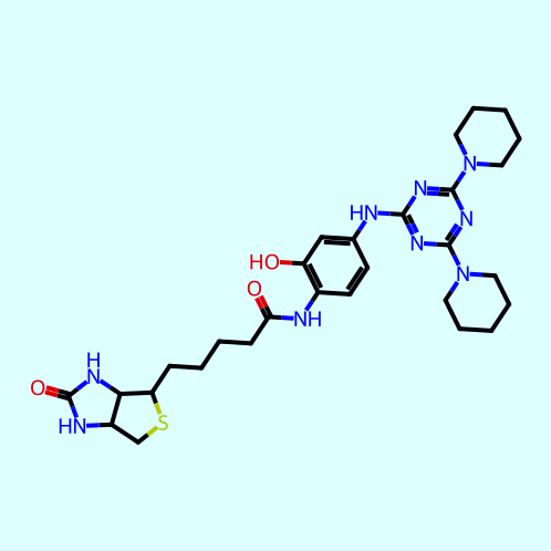 O=C(CCCCC1SCC2NC(=O)NC21)Nc1ccc(Nc2nc(N3CCCCC3)nc(N3CCCCC3)n2)cc1O